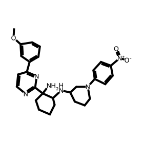 COc1cccc(-c2ccnc(C3(N)CCCCC3NC3CCCN(c4ccc([N+](=O)[O-])cc4)C3)n2)c1